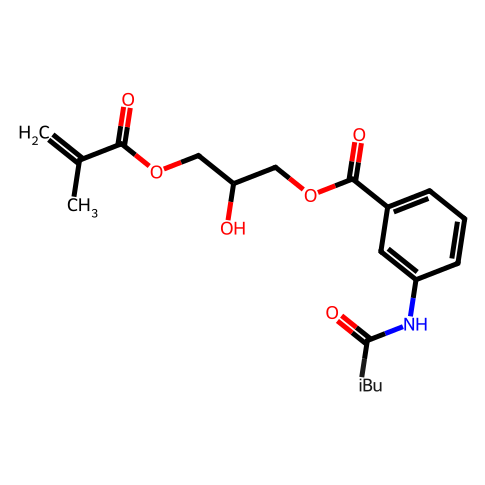 C=C(C)C(=O)OCC(O)COC(=O)c1cccc(NC(=O)C(C)CC)c1